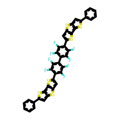 Fc1c(F)c(-c2c(F)c(F)c(-c3cc4sc5cc(-c6ccccc6)sc5c4s3)c(F)c2F)c(F)c(F)c1-c1cc2sc3cc(-c4ccccc4)sc3c2s1